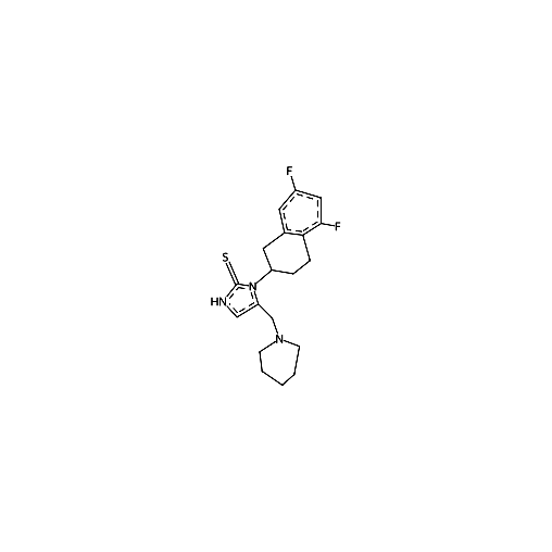 Fc1cc(F)c2c(c1)CC(n1c(CN3CCCCC3)c[nH]c1=S)CC2